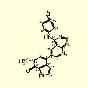 Cn1cc(-c2cnc3ncnc(Nc4ccc(Cl)cc4)c3c2)c2cc[nH]c2c1=O